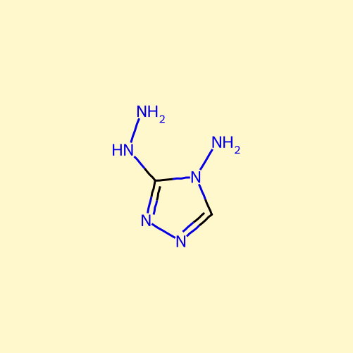 NNc1nncn1N